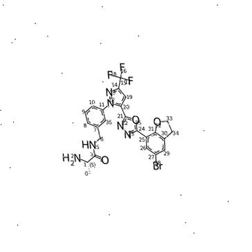 C[C@H](N)C(=O)NCc1cccc(-n2nc(C(F)(F)F)cc2-c2nnc(-c3cc(Br)cc4c3OCC4)o2)c1